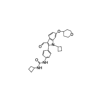 O=Cc1c(-c2ccc(NC(=O)NC3CCC3)cc2)n(C2CCC2)c2cc(OC3CCOCC3)ccc12